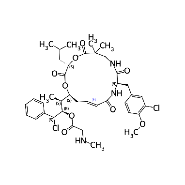 CNCC(=O)O[C@H]([C@@H](C)[C@@H]1C/C=C/C(=O)N[C@H](Cc2ccc(OC)c(Cl)c2)C(=O)NCC(C)(C)C(=O)O[C@@H](CC(C)C)C(=O)O1)[C@@H](Cl)c1ccccc1